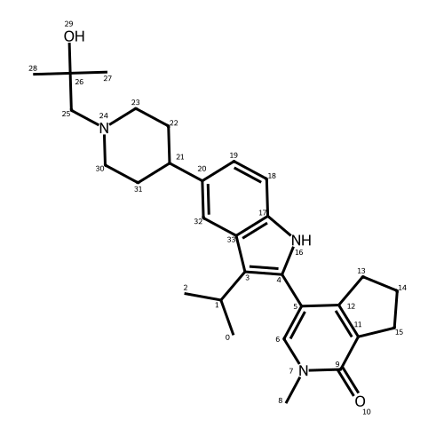 CC(C)c1c(-c2cn(C)c(=O)c3c2CCC3)[nH]c2ccc(C3CCN(CC(C)(C)O)CC3)cc12